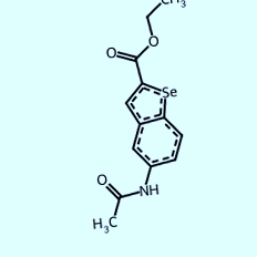 CCOC(=O)c1cc2cc(NC(C)=O)ccc2[se]1